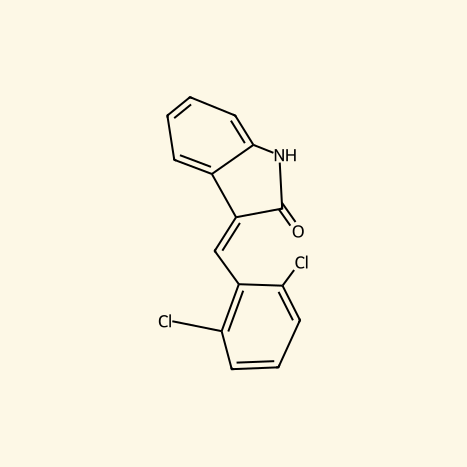 O=C1Nc2ccccc2/C1=C/c1c(Cl)cccc1Cl